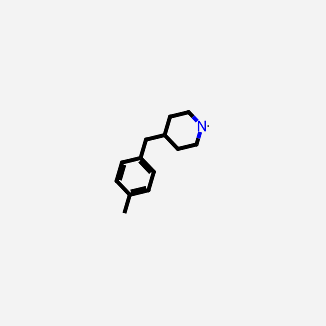 Cc1ccc(CC2CC[N]CC2)cc1